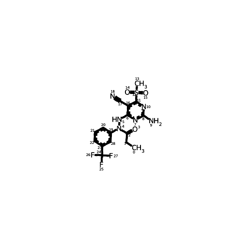 CCC(=O)N(Nc1nc(N)nc(S(C)(=O)=O)c1C#N)c1cccc(C(F)(F)F)c1